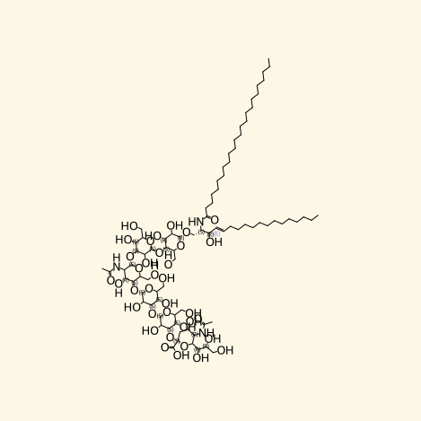 CCCCCCCCCCCCC/C=C/[C@@H](O)[C@H](CO[C@@H]1OC(CO)[C@@H](O[C@@H]2OC(CO)[C@H](O)[C@H](O[C@@H]3OC(CO)[C@@H](O[C@@H]4OC(CO)[C@H](O)[C@H](O[C@@H]5OC(CO)[C@H](O)[C@H](O[C@]6(C(=O)O)CC(O)[C@@H](NC(C)=O)C([C@H](O)[C@H](O)CO)O6)C5O)C4O)[C@H](O)C3NC(C)=O)C2O)[C@H](O)C1O)NC(=O)CCCCCCCCCCCCCCCCCCCCCCC